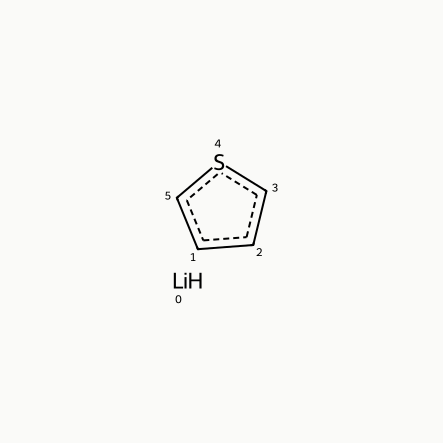 [LiH].c1ccsc1